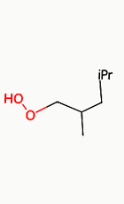 CC(C)CC(C)COO